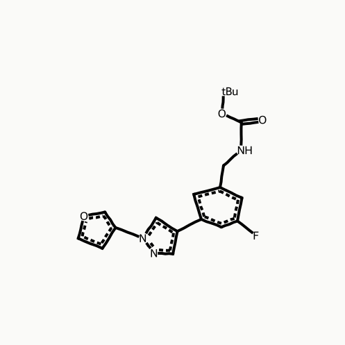 CC(C)(C)OC(=O)NCc1cc(F)cc(-c2cnn(-c3ccoc3)c2)c1